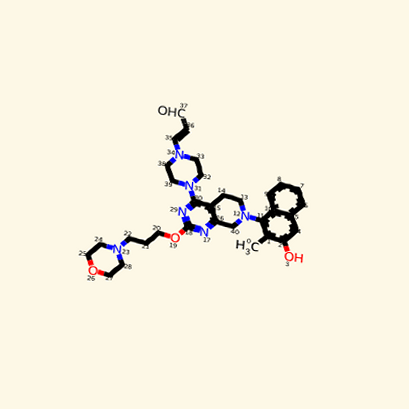 Cc1c(O)cc2ccccc2c1N1CCc2c(nc(OCCCN3CCOCC3)nc2N2CCN(C=CC=O)CC2)C1